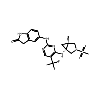 CS(=O)(=O)N1C[C@H]2C[C@]2(Nc2nc(Nc3ccc4c(c3)CC(=O)N4)ncc2C(F)(F)F)C1